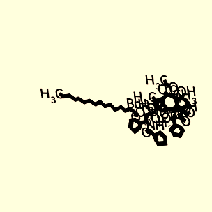 CCCCCCCCCCCCCCC(Br)C(=O)O[C@@H](C(=O)O[C@H]1C[C@@]2(O)[C@@H](OC(=O)c3ccccc3)[C@@H]3[C@]4(OC(C)=O)CO[C@@H]4C[C@H](O)[C@@]3(C)C(=O)[C@H](OC(C)=O)C(=C1C)C2(C)C)[C@@H](NC(=O)c1ccccc1)c1ccccc1